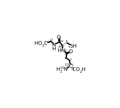 [15NH2][13C@@H](CCC(=O)N[C@@H](CS)C(=O)NCC(=O)O)[13C](=O)O